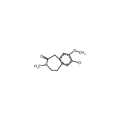 COc1cc2c(cc1Cl)CCN(C)C(=O)C2